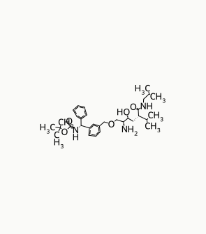 CC(C)CNC(=O)[C@@H](C[C@H](O)[C@@H](N)COCc1cccc([C@H](NC(=O)OC(C)(C)C)c2ccccc2)c1)C(C)C